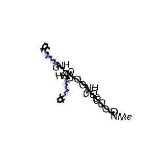 CNC(=O)CCOCCOCCOCCOCCC(=O)NCCOCCOCCNC(=O)C(CCCCNC(=O)/C=C(C)/C=C/C=C(C)/C=C/C1=C(C)CCCC1(C)C)NC(=O)/C=C(C)/C=C/C=C(C)/C=C/C1=C(C)CCCC1(C)C